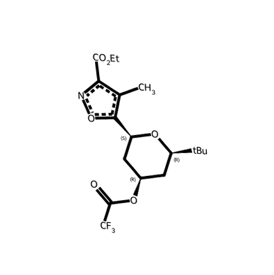 CCOC(=O)c1noc([C@@H]2C[C@H](OC(=O)C(F)(F)F)C[C@H](C(C)(C)C)O2)c1C